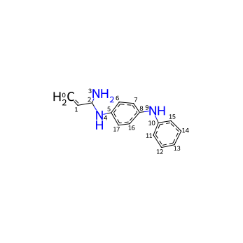 C=CC(N)Nc1ccc(Nc2ccccc2)cc1